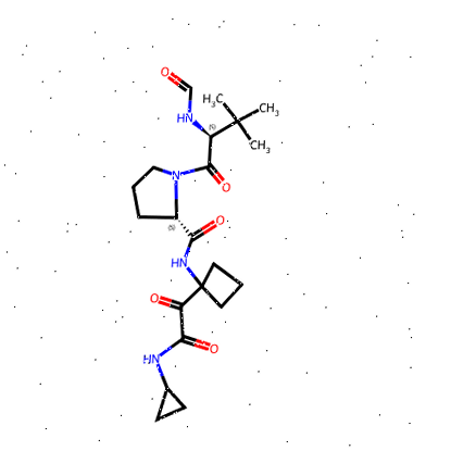 CC(C)(C)[C@H](NC=O)C(=O)N1CCC[C@H]1C(=O)NC1(C(=O)C(=O)NC2CC2)CCC1